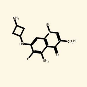 CCn1cc(C(=O)O)c(=O)c2c(N)c(F)c(NC3CC(N)C3)cc21